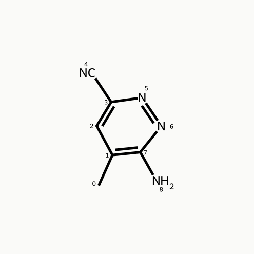 Cc1cc(C#N)nnc1N